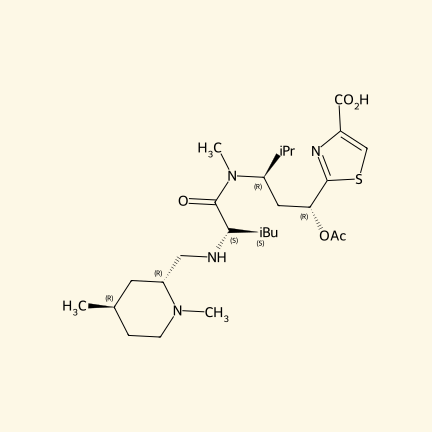 CC[C@H](C)[C@H](NC[C@H]1C[C@H](C)CCN1C)C(=O)N(C)[C@H](C[C@@H](OC(C)=O)c1nc(C(=O)O)cs1)C(C)C